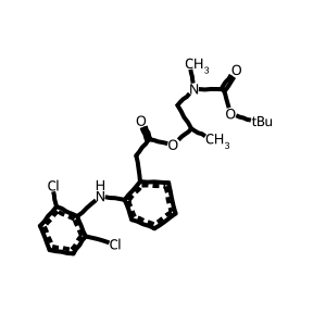 CC(CN(C)C(=O)OC(C)(C)C)OC(=O)Cc1ccccc1Nc1c(Cl)cccc1Cl